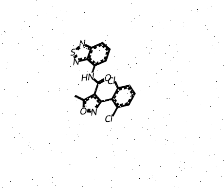 Cc1onc(-c2c(Cl)cccc2Cl)c1C(=O)Nc1cccc2nsnc12